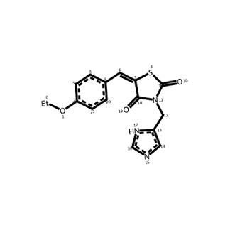 CCOc1ccc(C=C2SC(=O)N(Cc3cnc[nH]3)C2=O)cc1